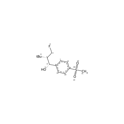 CC(C)(C)[C@H](CF)[C@@H](O)c1ccc(S(C)(=O)=O)cc1